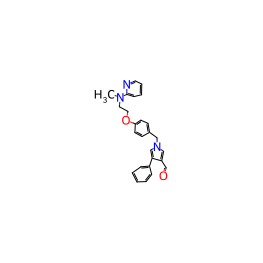 CN(CCOc1ccc(Cn2cc(C=O)c(-c3ccccc3)c2)cc1)c1ccccn1